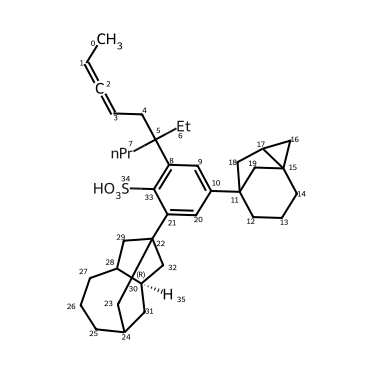 CC=C=CCC(CC)(CCC)c1cc(C23CCCC4(CC4C2)C3)cc(C23CC4CCCC(C2)[C@H](C4)C3)c1S(=O)(=O)O